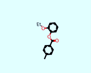 CCOc1ccccc1OC(=O)c1ccc(C)cc1